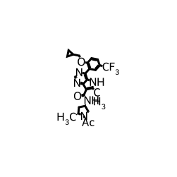 CC(=O)N1C[C@@H](NC(=O)c2c(C)[nH]c3c(-c4cc(C(F)(F)F)ccc4OCC4CC4)ncnc23)C[C@H]1C